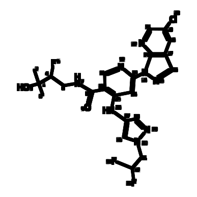 CC(C)(O)C(F)CNC(=O)c1cnc(-n2ncc3cc(Cl)cnc32)cc1Nc1cnn(CC(F)F)c1